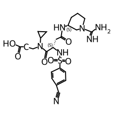 N#Cc1ccc(S(=O)(=O)N[C@@H](CC(=O)N[C@H]2CCCN(C(=N)N)C2)C(=O)N(CCC(=O)O)C2CC2)cc1